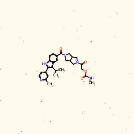 CNC(=O)OCC(=O)N1CC2CN(C(=O)c3ccc4[nH]c(-c5ccnc(C)c5)c(C(C)C)c4c3)CC2C1